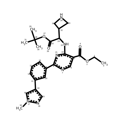 CCOC(=O)c1cnc(-c2cccc(-c3cnn(C)c3)c2)nc1NC(C(=O)OC(C)(C)C)C1CNC1